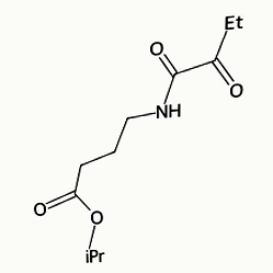 CCC(=O)C(=O)NCCCC(=O)OC(C)C